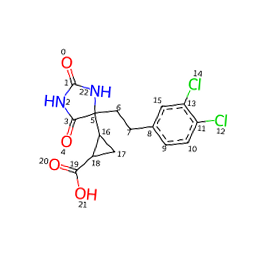 O=C1NC(=O)C(CCc2ccc(Cl)c(Cl)c2)(C2CC2C(=O)O)N1